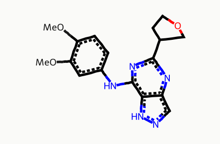 COc1ccc(Nc2nc(C3CCOC3)nc3cn[nH]c23)cc1OC